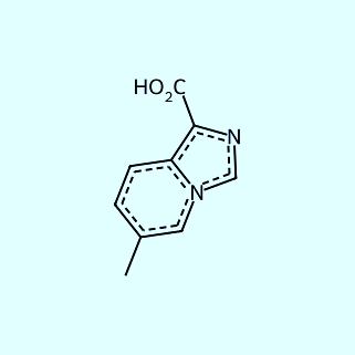 Cc1ccc2c(C(=O)O)ncn2c1